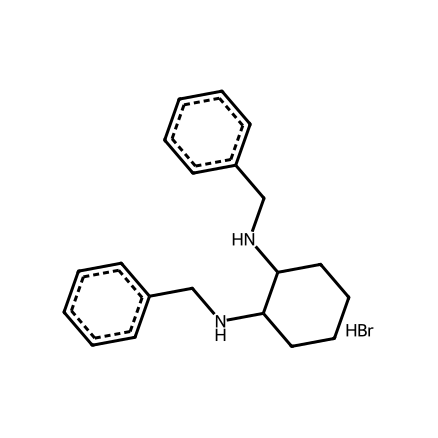 Br.c1ccc(CNC2CCCCC2NCc2ccccc2)cc1